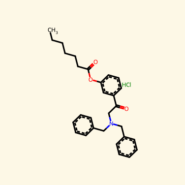 CCCCCCC(=O)Oc1cccc(C(=O)CN(Cc2ccccc2)Cc2ccccc2)c1.Cl